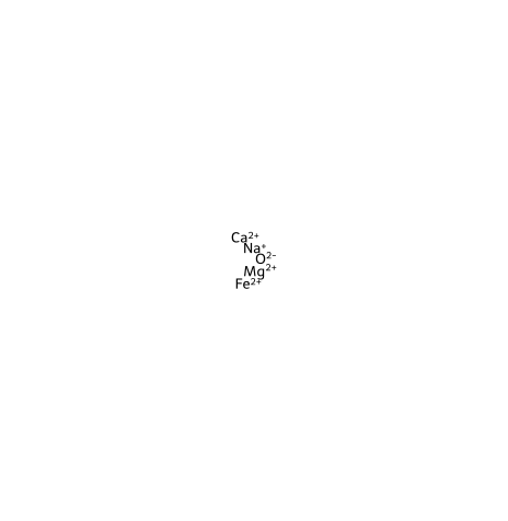 [Ca+2].[Fe+2].[Mg+2].[Na+].[O-2]